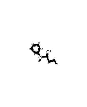 CC=CC(=O)N(C)c1ccccc1